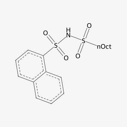 CCCCCCCCS(=O)(=O)NS(=O)(=O)c1cccc2ccccc12